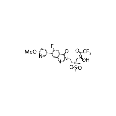 COc1ccc(-c2cc3ncn(CC[C@](C)(CN(O)C(=O)C(F)(F)F)S(C)(=O)=O)c(=O)c3cc2F)cn1